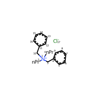 CCC[N+](CCC)(Cc1ccccc1)Cc1ccccc1.[Cl-]